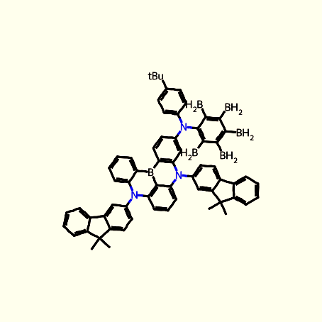 Bc1c(B)c(B)c(N(c2ccc(C(C)(C)C)cc2)c2ccc3c(c2)N(c2ccc4c(c2)C(C)(C)c2ccccc2-4)c2cccc4c2B3c2ccccc2N4c2ccc3c(c2)-c2ccccc2C3(C)C)c(B)c1B